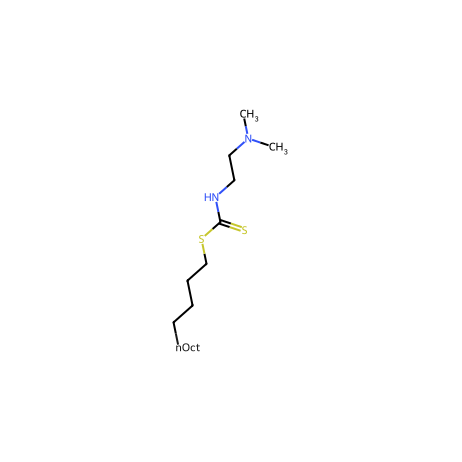 CCCCCCCCCCCCSC(=S)NCCN(C)C